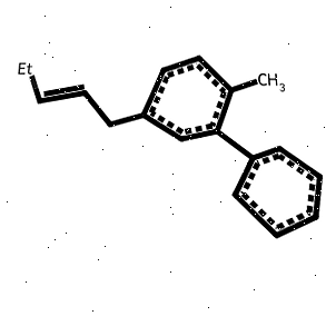 CCC=CCc1ccc(C)c(-c2ccccc2)c1